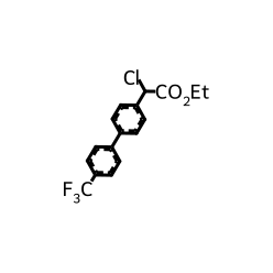 CCOC(=O)C(Cl)c1ccc(-c2ccc(C(F)(F)F)cc2)cc1